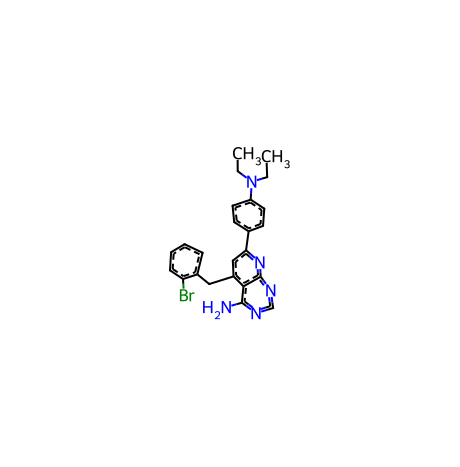 CCN(CC)c1ccc(-c2cc(Cc3ccccc3Br)c3c(N)ncnc3n2)cc1